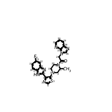 CC1CN(c2scnc2-c2nc3cc(F)ccc3[nH]2)CCN1C(=O)Cn1cnc2cccnc21